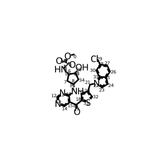 COS(=O)(=O)N[C@@H]1C[C@@H](Nc2ncncc2C(=O)c2cc(Cn3ccc4ccc(Cl)cc43)cs2)C[C@@H]1O